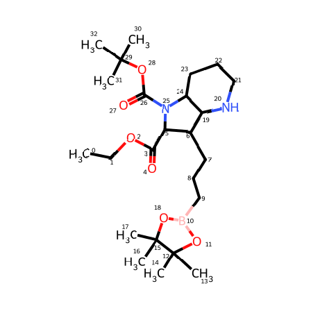 CCOC(=O)C1C(CCCB2OC(C)(C)C(C)(C)O2)C2NCCCC2N1C(=O)OC(C)(C)C